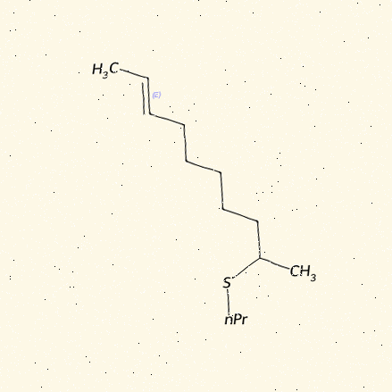 C/C=C/CCCCCC(C)SCCC